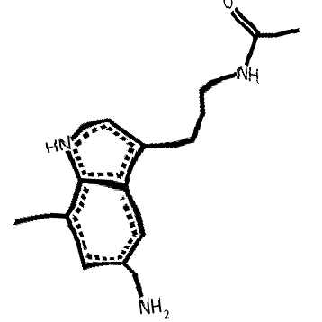 CC(=O)NCCc1c[nH]c2c(C)cc(N)cc12